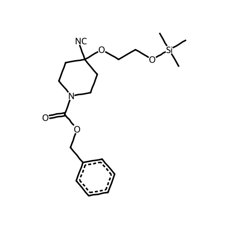 [C-]#[N+]C1(OCCO[Si](C)(C)C)CCN(C(=O)OCc2ccccc2)CC1